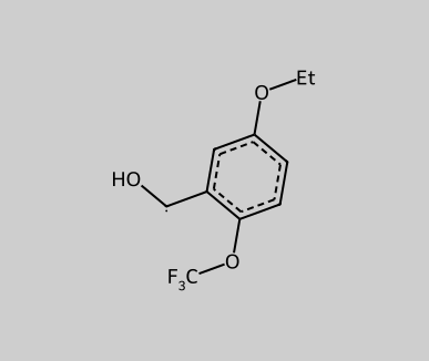 CCOc1ccc(OC(F)(F)F)c([CH]O)c1